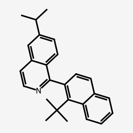 CC(C)c1ccc2c(-c3ccc4ccccc4c3C(C)(C)C)nccc2c1